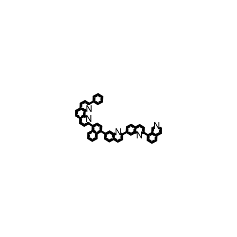 c1ccc(-c2ccc3ccc4ccc(-c5ccc(-c6ccc7ccc(-c8ccc9ccc(-c%10cccc%11ccncc%10%11)nc9c8)nc7c6)c6ccccc56)nc4c3n2)cc1